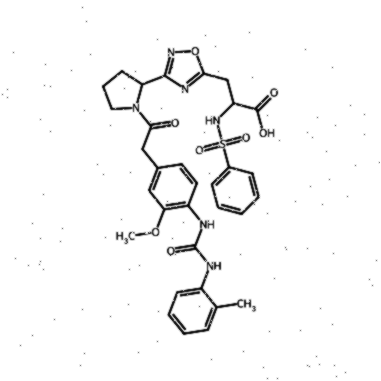 COc1cc(CC(=O)N2CCCC2c2noc(CC(NS(=O)(=O)c3ccccc3)C(=O)O)n2)ccc1NC(=O)Nc1ccccc1C